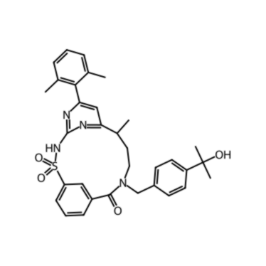 Cc1cccc(C)c1-c1cc2nc(n1)NS(=O)(=O)c1cccc(c1)C(=O)N(Cc1ccc(C(C)(C)O)cc1)CCC2C